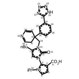 CCCCc1cn(-c2c(C(=O)O)ccn2C(C)C)c(=O)n1CC1(c2cccc(-c3nnn[nH]3)c2)C=CN=CC1